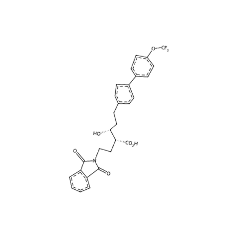 O=C(O)[C@H](CCN1C(=O)c2ccccc2C1=O)[C@H](O)CCc1ccc(-c2ccc(OC(F)(F)F)cc2)cc1